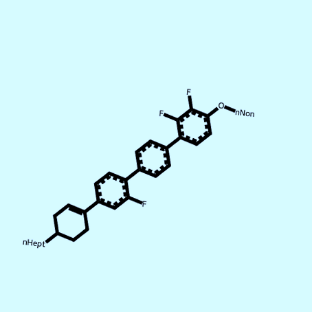 CCCCCCCCCOc1ccc(-c2ccc(-c3ccc(C4=CCC(CCCCCCC)CC4)cc3F)cc2)c(F)c1F